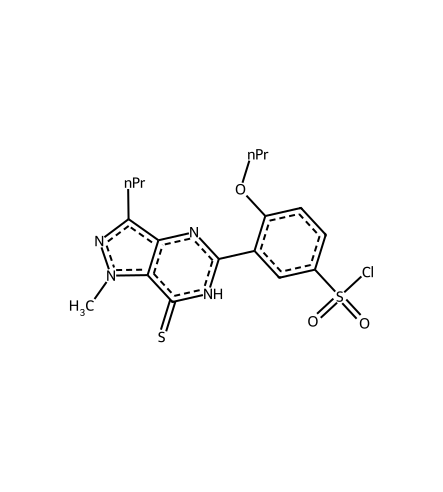 CCCOc1ccc(S(=O)(=O)Cl)cc1-c1nc2c(CCC)nn(C)c2c(=S)[nH]1